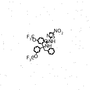 O=C(Nc1ncc([N+](=O)[O-])s1)NC(Cc1ccccc1)(c1cccc(OC(F)(F)F)c1)c1cccc(OC(F)(F)F)c1